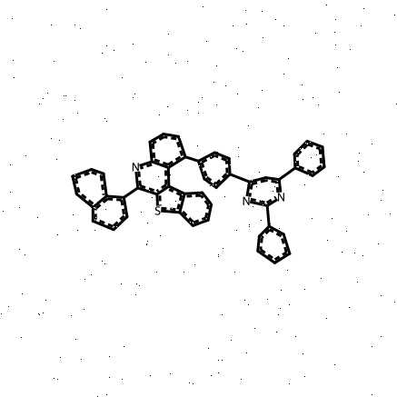 c1ccc(-c2cc(-c3ccc(-c4cccc5nc(-c6cccc7ccccc67)c6sc7ccccc7c6c45)cc3)nc(-c3ccccc3)n2)cc1